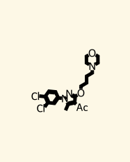 CC(=O)c1c(OCCCCN2CCOCC2)nn(-c2ccc(Cl)c(Cl)c2)c1C